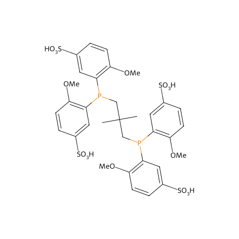 COc1ccc(S(=O)(=O)O)cc1P(CC(C)(C)CP(c1cc(S(=O)(=O)O)ccc1OC)c1cc(S(=O)(=O)O)ccc1OC)c1cc(S(=O)(=O)O)ccc1OC